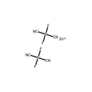 N#C[B-](F)(F)C#N.N#C[B-](F)(F)C#N.[Zn+2]